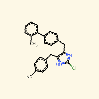 Cc1ccccc1-c1ccc(Cc2nc(Cl)[nH]c2Cc2ccc(C#N)cc2)cc1